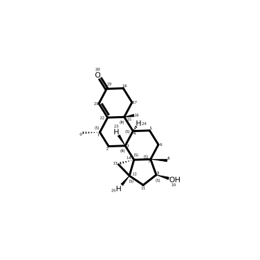 C[C@H]1C[C@@H]2[C@H](CC[C@]3(C)[C@@H](O)C[C@@H]4C[C@]423)[C@@]2(C)CCC(=O)C=C12